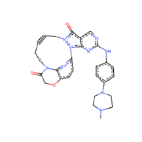 CN1CCN(c2ccc(Nc3ncc4c(=O)n5n(c4n3)-c3ccc4c(n3)N(CCC#CC5)C(=O)CO4)cc2)CC1